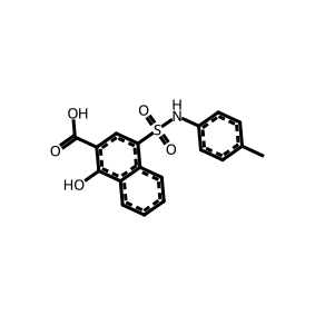 Cc1ccc(NS(=O)(=O)c2cc(C(=O)O)c(O)c3ccccc23)cc1